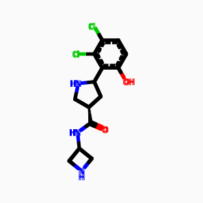 O=C(NC1CNC1)[C@H]1CNC(c2c(O)ccc(Cl)c2Cl)C1